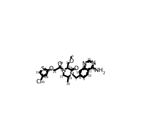 COCC1C(=O)N(Cc2ccc3c(N)ncnc3c2)C(C)CN1C(=O)COc1cc(Cl)cs1